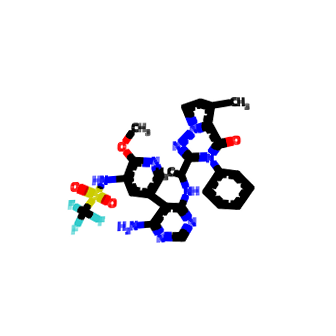 COc1ncc(-c2c(N)ncnc2NC(C)c2nn3ccc(C)c3c(=O)n2-c2ccccc2)cc1NS(=O)(=O)C(F)(F)F